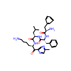 Cc1cnc(C(=O)[C@@H](CCCCN)NC(=O)[C@@H](CC(C)C)NC(=O)[C@@H](Cc2ccccc2)NC(=O)[C@H](N)Cc2ccccc2)cn1